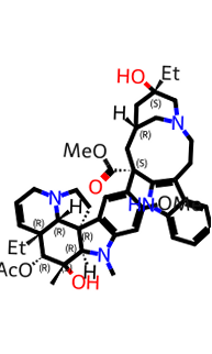 CC[C@]1(O)C[C@@H]2CN(CCc3c([nH]c4ccccc34)[C@@](C(=O)OC)(c3cc4c(cc3OC)N(C)[C@H]3[C@](C)(O)[C@H](OC(C)=O)[C@]5(CC)C=CCN6CC[C@]43[C@@H]65)C2)C1